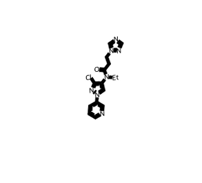 CCN(C(=O)CCn1cncn1)c1cn(-c2cccnc2)nc1Cl